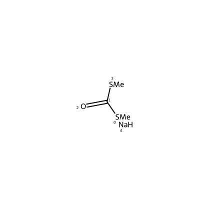 CSC(=O)SC.[NaH]